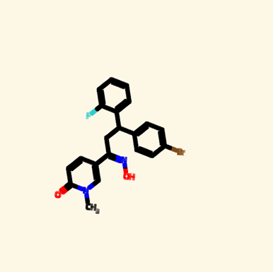 Cn1cc(C(CC(c2ccc(Br)cc2)c2ccccc2F)=NO)ccc1=O